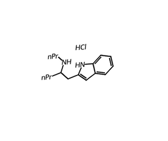 CCCNC(CCC)Cc1cc2ccccc2[nH]1.Cl